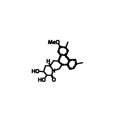 COc1cc2c3c(c4ccc(C)cc4c2cc1C)CN1C(=O)C(O)C(O)C[C@@H]1C3